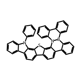 c1ccc(-n2c3ccccc3c3ccc4c5ccc6c(c5sc4c32)N2B(c3ccccc3-c3ccccc32)c2ccccc2-6)cc1